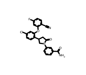 N#Cc1ccc(F)cc1Oc1cc(Cl)ccc1C1CC(=O)N(c2cccc(C(N)=O)c2)C1